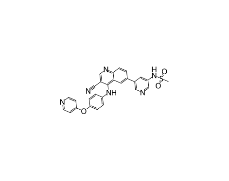 CS(=O)(=O)Nc1cncc(-c2ccc3ncc(C#N)c(Nc4ccc(Oc5ccncc5)cc4)c3c2)c1